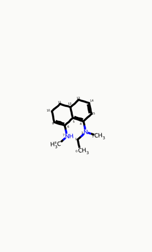 CCN(C)C1=C2C(NC)=CCCC2CC=C1